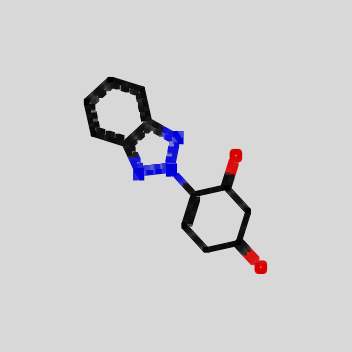 O=C1CC=C(n2nc3ccccc3n2)C(=O)C1